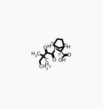 CCC(C)(C)C(=O)C(=O)N1[C@H]2CC[C@H](C2)[C@H]1C(=O)O